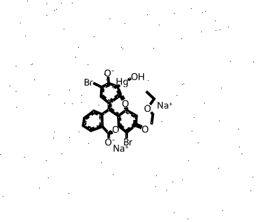 CCOCC.O=C([O-])c1ccccc1-c1c2cc(Br)c(=O)cc-2oc2[c]([Hg][OH])c([O-])c(Br)cc12.[Na+].[Na+]